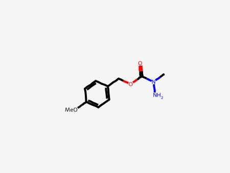 COc1ccc(COC(=O)N(C)N)cc1